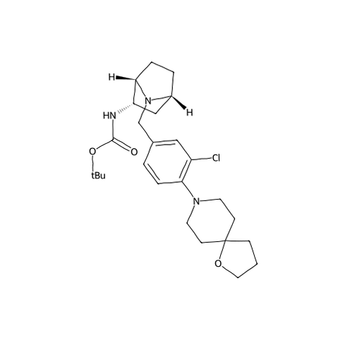 CC(C)(C)OC(=O)N[C@H]1C[C@H]2CC[C@@H]1N2Cc1ccc(N2CCC3(CCCO3)CC2)c(Cl)c1